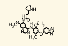 COc1cc2ncnc(Nc3cc(C)c(Oc4ccn5ncnc5c4)cc3OC)c2cc1NC(=O)C=CC1CCCN1